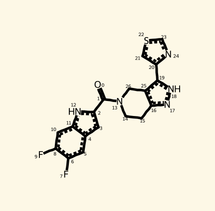 O=C(c1cc2cc(F)c(F)cc2[nH]1)N1CCc2n[nH]c(-c3cscn3)c2C1